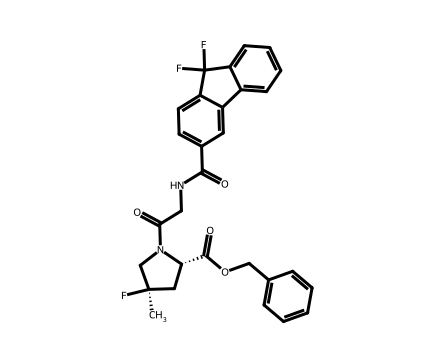 C[C@@]1(F)C[C@@H](C(=O)OCc2ccccc2)N(C(=O)CNC(=O)c2ccc3c(c2)-c2ccccc2C3(F)F)C1